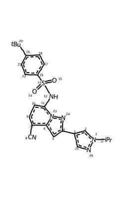 CC(C)n1cc(-c2cc3c(C#N)ccc(NS(=O)(=O)c4ccc(C(C)(C)C)cc4)n3n2)cn1